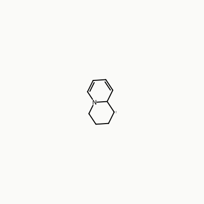 [C]1CCCN2C=CC=CC12